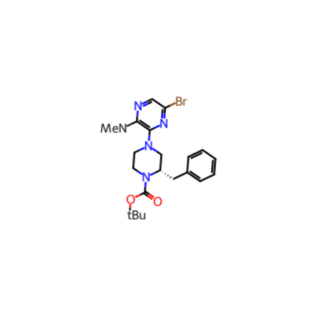 CNc1ncc(Br)nc1N1CCN(C(=O)OC(C)(C)C)[C@@H](Cc2ccccc2)C1